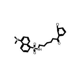 CN(C)c1cccc2c(S(=O)(=O)NCCCCCC(=O)c3cccc(Cl)c3)cccc12